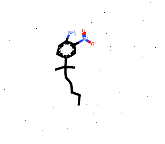 CCCCCC(C)(C)c1ccc(N)c([N+](=O)[O-])c1